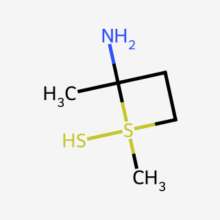 CC1(N)CCS1(C)S